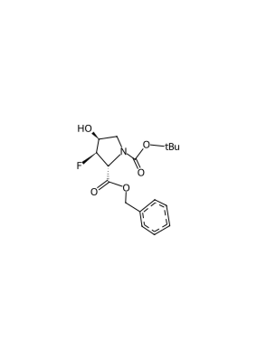 CC(C)(C)OC(=O)N1C[C@H](O)[C@H](F)[C@H]1C(=O)OCc1ccccc1